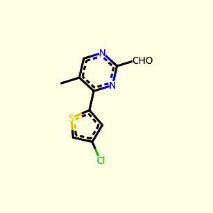 Cc1cnc(C=O)nc1-c1cc(Cl)cs1